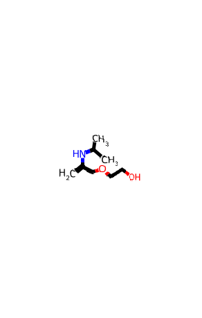 C=C(COCCO)NC(C)C